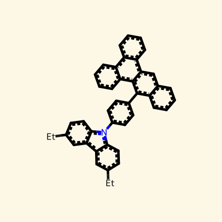 CCc1ccc2c(c1)c1cc(CC)ccc1n2-c1ccc(-c2c3ccccc3cc3c4ccccc4c4ccccc4c23)cc1